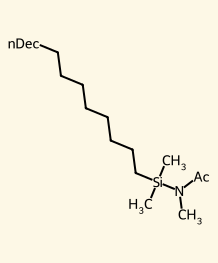 CCCCCCCCCCCCCCCCCC[Si](C)(C)N(C)C(C)=O